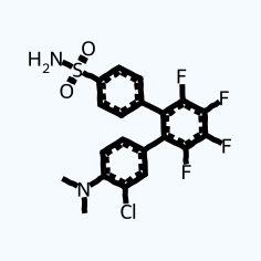 CN(C)c1ccc(-c2c(F)c(F)c(F)c(F)c2-c2ccc(S(N)(=O)=O)cc2)cc1Cl